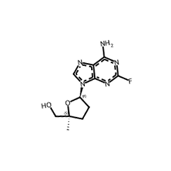 C[C@@]1(CO)CC[C@H](n2cnc3c(N)nc(F)nc32)O1